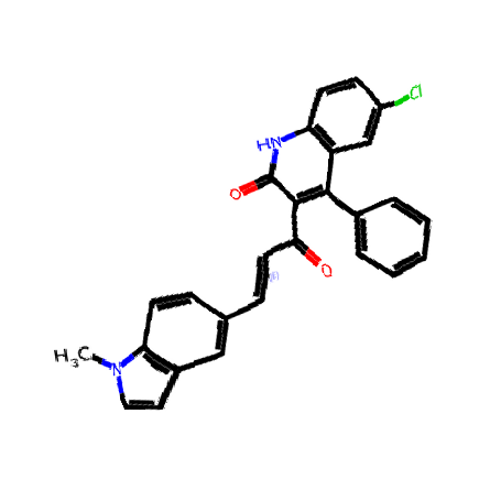 Cn1ccc2cc(/C=C/C(=O)c3c(-c4ccccc4)c4cc(Cl)ccc4[nH]c3=O)ccc21